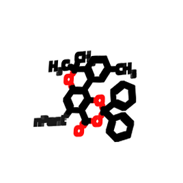 CCCCCc1cc2c(c3c1C(=O)OC(c1ccccc1)(c1ccccc1)O3)-c1cc(C)ccc1C(C)(C)O2